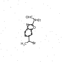 CCN(C=O)c1nc2ccc(C(C)Br)cc2o1